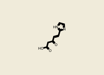 O=C(O)CC(=O)C=Cc1ncc[nH]1